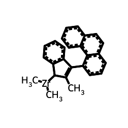 CC1=C(c2cccc3ccc4ccccc4c23)c2ccccc2[CH]1[Zr]([CH3])[CH3]